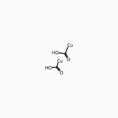 O=[C](O)[Cu].O=[C](O)[Cu]